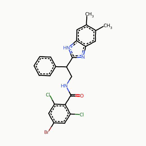 Cc1cc2nc(C(CNC(=O)c3c(Cl)cc(Br)cc3Cl)c3ccccc3)[nH]c2cc1C